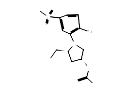 CS(=O)(=O)c1ccc(N)c(N2C[C@@H](NC(=O)O)C[C@H]2CO)c1